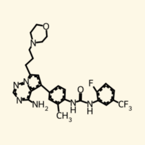 Cc1cc(-c2cc(CCCN3CCOCC3)n3ncnc(N)c23)ccc1NC(=O)Nc1cc(C(F)(F)F)ccc1F